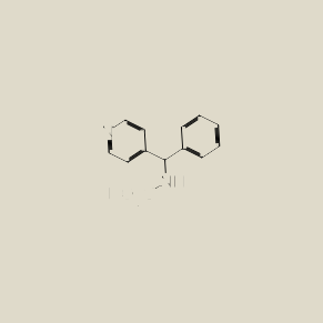 O=C(O)NC(c1ccccc1)c1ccncc1